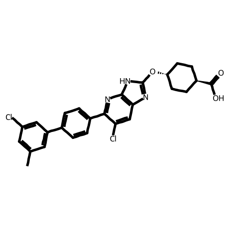 Cc1cc(Cl)cc(-c2ccc(-c3nc4[nH]c(O[C@H]5CC[C@H](C(=O)O)CC5)nc4cc3Cl)cc2)c1